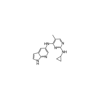 Cc1cnc(NC2CC2)nc1Nc1cnc2[nH]ccc2c1